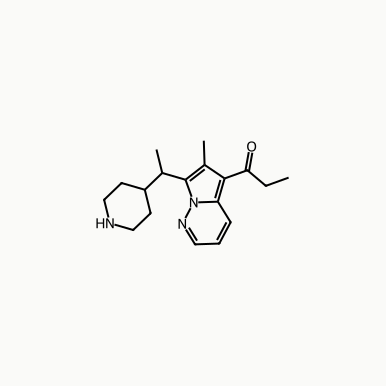 CCC(=O)c1c(C)c(C(C)C2CCNCC2)n2ncccc12